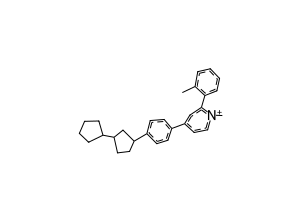 Cc1ccccc1-c1cc(-c2ccc(C3CCC(C4CCCC4)C3)cc2)cc[n+]1C